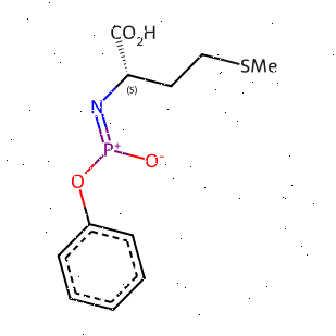 CSCC[C@H](N=[P+]([O-])Oc1ccccc1)C(=O)O